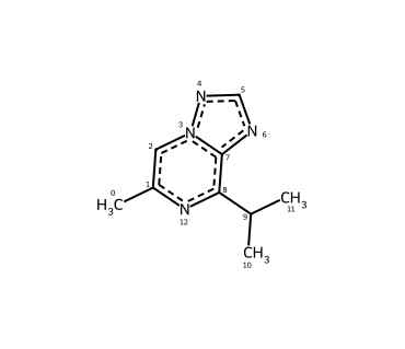 Cc1cn2ncnc2c(C(C)C)n1